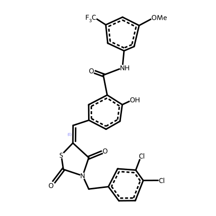 COc1cc(NC(=O)c2cc(/C=C3/SC(=O)N(Cc4ccc(Cl)c(Cl)c4)C3=O)ccc2O)cc(C(F)(F)F)c1